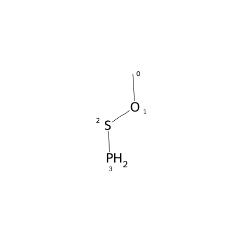 COSP